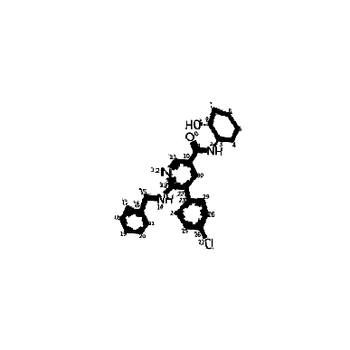 O=C(N[C@@H]1CCCC[C@H]1O)c1cnc(NCc2ccccc2)c(-c2ccc(Cl)cc2)c1